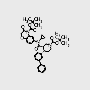 CC(C)(C)OC(=O)N1CC[C@H](c2cccc(-c3ccccc3)c2)[C@@H](C(=O)N(c2ccc3c(c2)N(C(=O)OC(C)(C)C)C(=O)CO3)C2CC2)C1